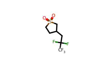 O=S1(=O)CCC(CC(F)(F)C(F)(F)F)C1